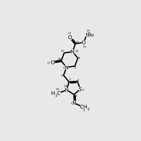 C/N=c1\scc(CN2CCN(C(=O)OC(C)(C)C)CC2=O)n1C